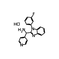 Cl.NC(c1ccncc1)c1nc2ccccc2n1-c1cccc(F)c1